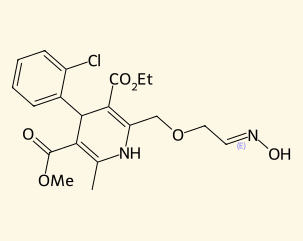 CCOC(=O)C1=C(COC/C=N/O)NC(C)=C(C(=O)OC)C1c1ccccc1Cl